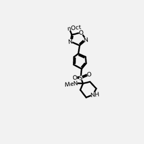 CCCCCCCCc1nc(-c2ccc(S(=O)(=O)C3(NC)CCNCC3)cc2)no1